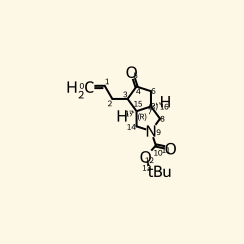 C=CCC1C(=O)C[C@H]2CN(C(=O)OC(C)(C)C)C[C@@H]12